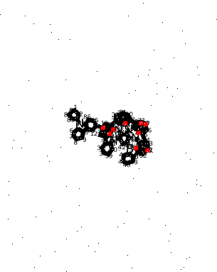 c1ccc(-n2c3ccccc3c3cc(-c4ccc5c(c4)c4ccccc4n5-c4c(-n5c6ccccc6c6ccccc65)cc(B5c6ccccc6-c6ccccc65)c(-n5c6ccccc6c6ccccc65)c4-n4c5ccccc5c5ccccc54)ccc32)cc1